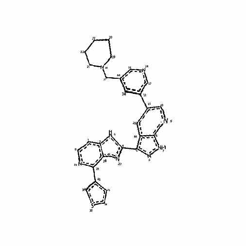 c1cc2[nH]c(-c3n[nH]c4ncc(-c5cncc(CN6CCCCC6)c5)cc34)nc2c(-c2ccsc2)n1